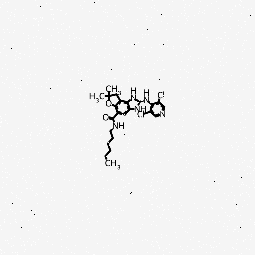 CCCCCCNC(=O)c1cc2c(c3c1OC(C)(C)C3)NC(Nc1c(Cl)cncc1Cl)N2